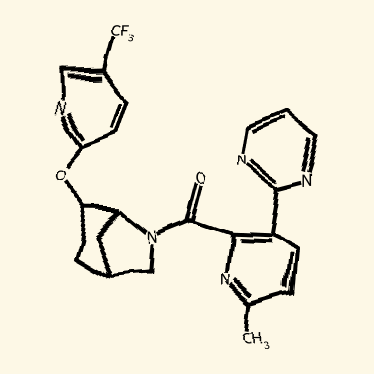 Cc1ccc(-c2ncccn2)c(C(=O)N2CC3CC(Oc4ccc(C(F)(F)F)cn4)C2C3)n1